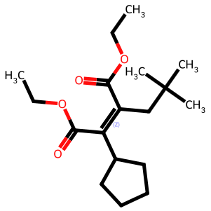 CCOC(=O)/C(CC(C)(C)C)=C(\C(=O)OCC)C1CCCC1